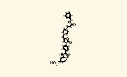 CN1CCC(C(=O)O)CC1NC(=N)c1ccc(N2CC(CN3CCN(CCC(=O)OCc4ccccc4)CC3)OC2=O)cc1